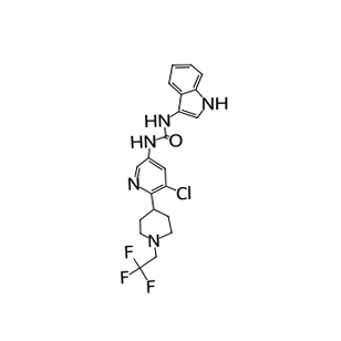 O=C(Nc1cnc(C2CCN(CC(F)(F)F)CC2)c(Cl)c1)Nc1c[nH]c2ccccc12